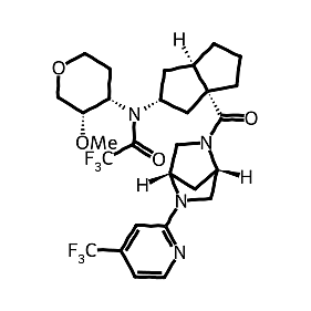 CO[C@@H]1COCC[C@@H]1N(C(=O)C(F)(F)F)[C@@H]1C[C@H]2CCC[C@@]2(C(=O)N2C[C@@H]3C[C@H]2CN3c2cc(C(F)(F)F)ccn2)C1